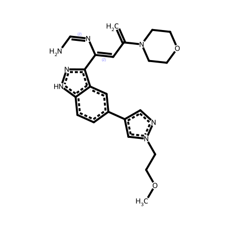 C=C(/C=C(\N=C/N)c1n[nH]c2ccc(-c3cnn(CCOC)c3)cc12)N1CCOCC1